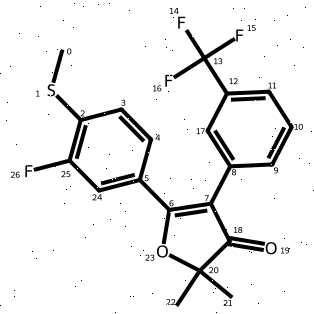 CSc1ccc(C2=C(c3cccc(C(F)(F)F)c3)C(=O)C(C)(C)O2)cc1F